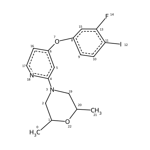 CC1CN(c2cc(Oc3ccc(I)c(F)c3)ccn2)CC(C)O1